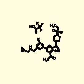 CCS(=O)(=O)N1CCC(c2c[nH]c3c(C(N)=O)cc(-c4cc(F)cc(CNCC5CC5)c4)cc23)CC1.O=C(O)C(F)(F)F